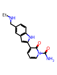 CCNCc1ccc2[nH]c(-c3c[c]cn(C(N)=O)c3=O)cc2c1